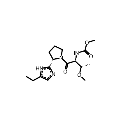 CCc1cnc([C@@H]2CCCN2C(=O)[C@@H](NC(=O)OC)[C@H](C)OC)[nH]1